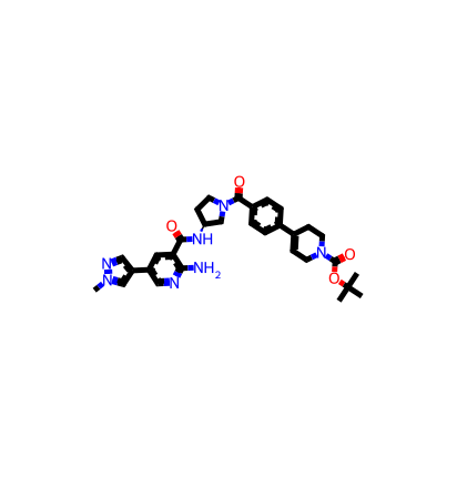 Cn1cc(-c2cnc(N)c(C(=O)N[C@@H]3CCN(C(=O)c4ccc(C5=CCN(C(=O)OC(C)(C)C)CC5)cc4)C3)c2)cn1